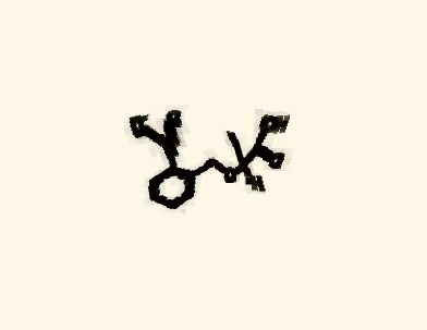 [2H]C(C)(OCc1ccccc1[N+](=O)[O-])C(=O)O